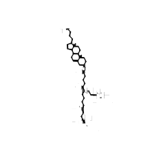 CCC(CCCC1CCC2C3CC=C4CC(OC(=O)CCCC(=O)N(CCCCNCCC(N)(CC)CC)CCC(N)(CC)CC)CCC4(C)C3CCC12C)C(C)C